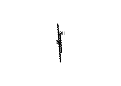 CCCCCCCCCCCCCCCCO.CCCCCCCCCCCCCCCCOC(=O)CCCCCCCCCCCCCCC